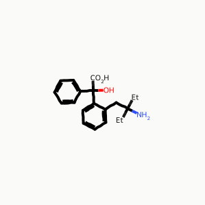 CCC(N)(CC)Cc1ccccc1C(O)(C(=O)O)c1ccccc1